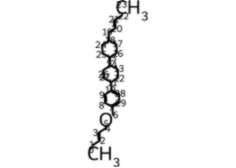 CCC=CCOCc1ccc(C2CCC(C3CCC(CC=CCC)CC3)CC2)cc1